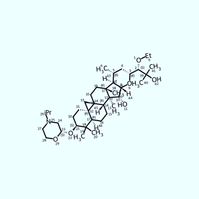 CCO[C@@H]([C@H]1C[C@@H](C)[C@H]2[C@H](O1)[C@H](O)[C@@]1(C)[C@@H]3CC[C@H]4C(C)(C)[C@@H](O[C@H]5CN(C(C)C)CCO5)CC[C@@]45C[C@@]35CC[C@]21C)C(C)(C)O